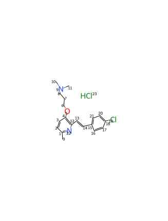 Cc1ccc(OCCCN(C)C)c(C=Cc2ccc(Cl)cc2)n1.Cl